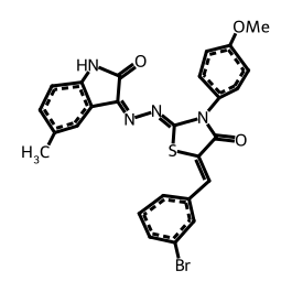 COc1ccc(N2C(=O)C(=Cc3cccc(Br)c3)SC2=NN=C2C(=O)Nc3ccc(C)cc32)cc1